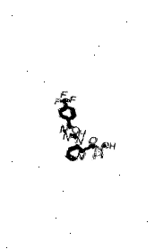 O=C(NO)c1ncccc1Nc1nnc(-c2ccc(C(F)(F)F)cc2)o1